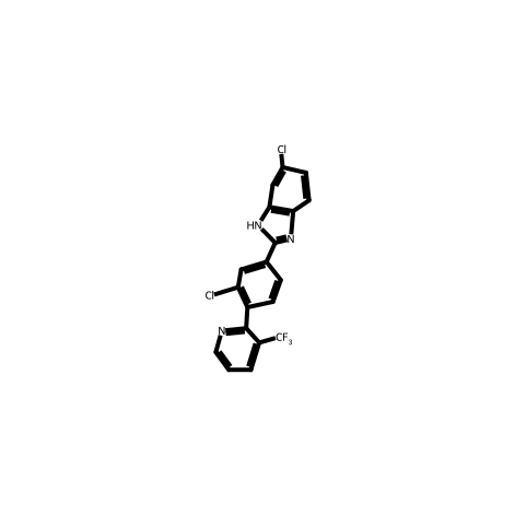 FC(F)(F)c1cccnc1-c1ccc(-c2nc3ccc(Cl)cc3[nH]2)cc1Cl